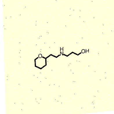 OCCCNCCC1CCCCO1